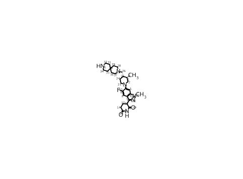 C[C@@H]1CN(c2cc3c(cc2F)c(C2CCC(=O)NC2=O)nn3C)CC[C@@H]1CN1CCC2(CCNCC2)CC1